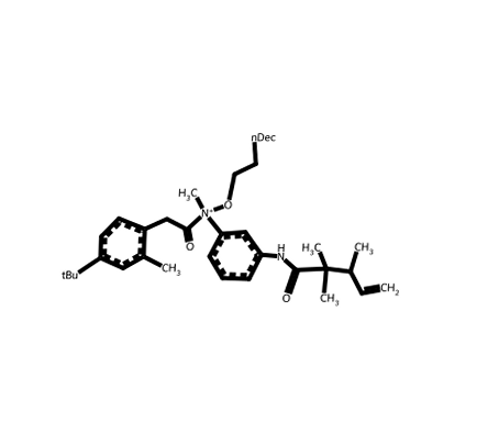 C=CC(C)C(C)(C)C(=O)Nc1cccc([N+](C)(OCCCCCCCCCCCC)C(=O)Cc2ccc(C(C)(C)C)cc2C)c1